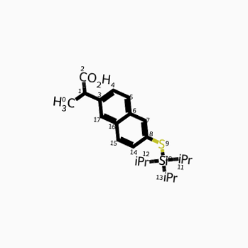 CC(C(=O)O)c1ccc2cc(S[Si](C(C)C)(C(C)C)C(C)C)ccc2c1